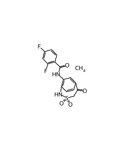 C.O=C1CS(=O)(=O)Nc2ccc1cc2NC(=O)c1ccc(F)cc1F